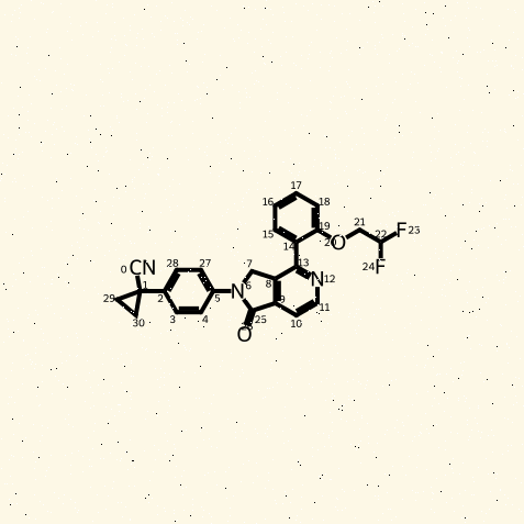 N#CC1(c2ccc(N3Cc4c(ccnc4-c4ccccc4OCC(F)F)C3=O)cc2)CC1